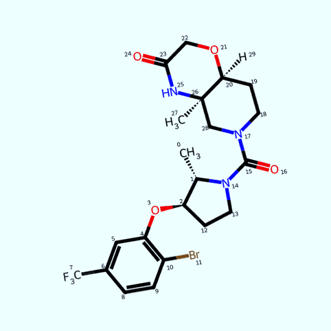 C[C@H]1[C@H](Oc2cc(C(F)(F)F)ccc2Br)CCN1C(=O)N1CC[C@@H]2OCC(=O)N[C@]2(C)C1